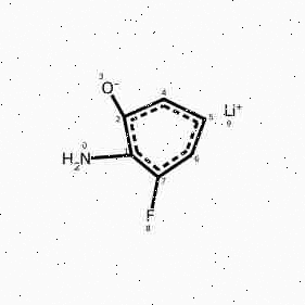 Nc1c([O-])cccc1F.[Li+]